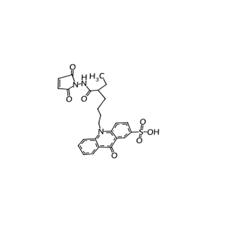 CCC(CCCCn1c2ccccc2c(=O)c2cc(S(=O)(=O)O)ccc21)C(=O)NN1C(=O)C=CC1=O